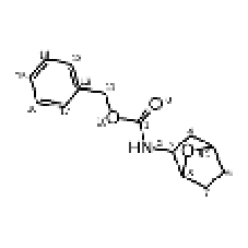 O=C(NC1CC2CCC1O2)OCc1ccccc1